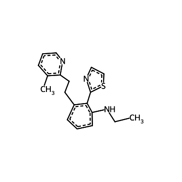 CCNc1cccc(CCc2ncccc2C)c1-c1nccs1